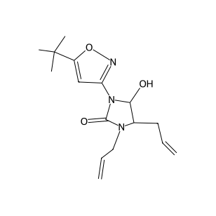 C=CCC1C(O)N(c2cc(C(C)(C)C)on2)C(=O)N1CC=C